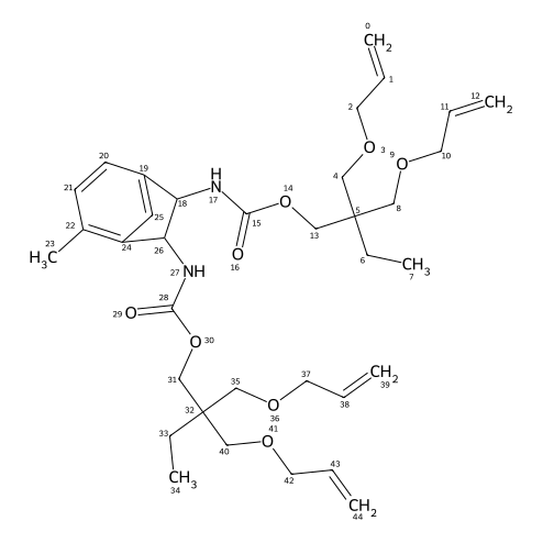 C=CCOCC(CC)(COCC=C)COC(=O)NC1c2ccc(C)c(c2)C1NC(=O)OCC(CC)(COCC=C)COCC=C